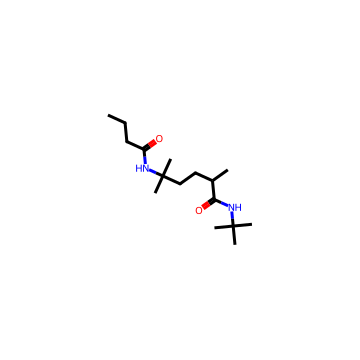 CCCC(=O)NC(C)(C)CCC(C)C(=O)NC(C)(C)C